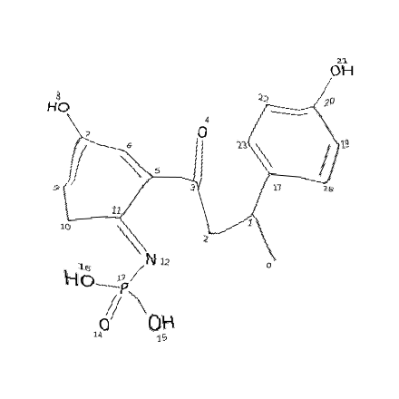 CC(CC(=O)C1=CC(O)=CCC1=NP(=O)(O)O)c1ccc(O)cc1